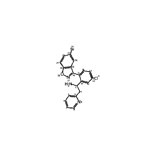 Cl.NC(Cc1ccccn1)c1ccccc1-c1noc2ccc(Br)cc12